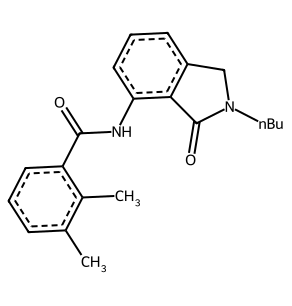 CCCCN1Cc2cccc(NC(=O)c3cccc(C)c3C)c2C1=O